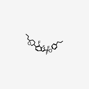 CCCc1ccc(OC(F)(F)c2cc3ccc(C4CCC(CCC)OC4)c(F)c3s2)cc1